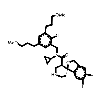 COCCCc1cc(CCCOC)c(Cl)c(CN(C(=O)C2CNCC[C@@]23OCc2cc(F)c(F)cc23)C2CC2)c1